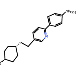 CCCCCc1ccc(-c2ccc(CC[C@H]3CC[C@H](CC)CC3)cn2)cc1